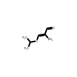 B/C(C=O)=C\OC(C)C